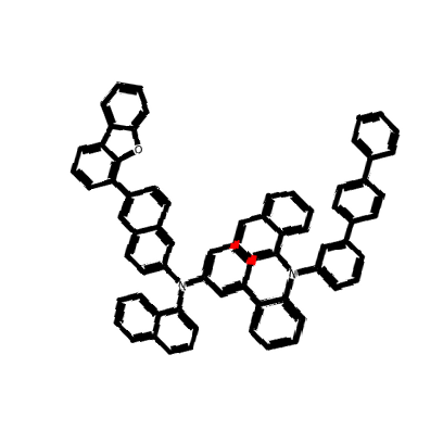 c1ccc(-c2ccc(-c3cccc(N(c4ccccc4-c4cccc(N(c5ccc6cc(-c7cccc8c7oc7ccccc78)ccc6c5)c5cccc6ccccc56)c4)c4cccc5ccccc45)c3)cc2)cc1